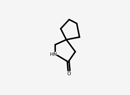 O=C1CC2(CCCC2)CN1